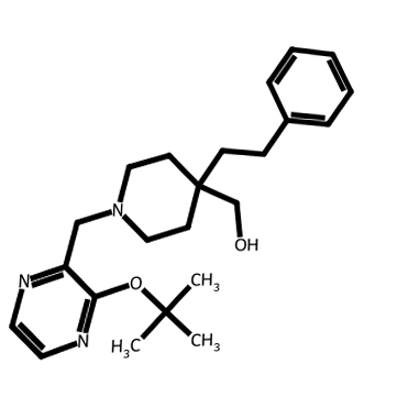 CC(C)(C)Oc1nccnc1CN1CCC(CO)(CCc2ccccc2)CC1